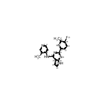 Cc1cnccc1Nc1nc(-c2ccc(F)c(C)n2)nc2[nH]ccc12